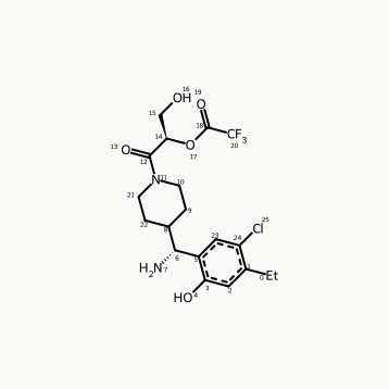 CCc1cc(O)c([C@H](N)C2CCN(C(=O)[C@@H](CO)OC(=O)C(F)(F)F)CC2)cc1Cl